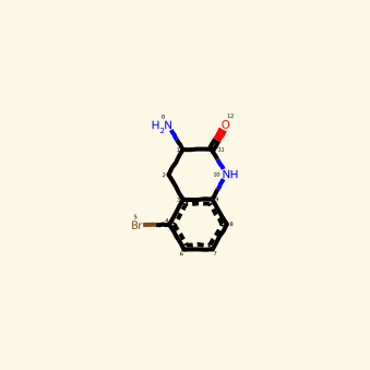 NC1Cc2c(Br)cccc2NC1=O